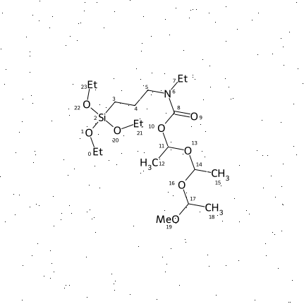 CCO[Si](CCCN(CC)C(=O)OC(C)OC(C)OC(C)OC)(OCC)OCC